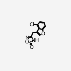 O=S1NC(Cc2coc3cccc(Cl)c23)=NO1